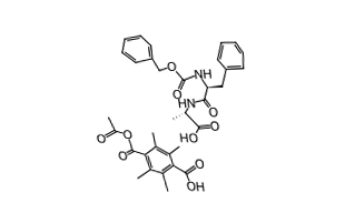 CC(=O)OC(=O)c1c(C)c(C)c(C(=O)O)c(C)c1C.C[C@H](NC(=O)[C@H](Cc1ccccc1)NC(=O)OCc1ccccc1)C(=O)O